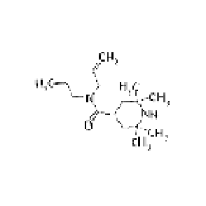 C=CCN(CC=C)C(=O)C1CC(C)(C)NC(C)(C)C1